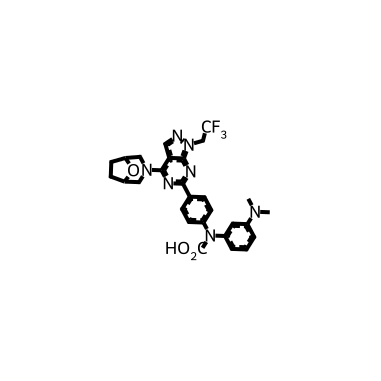 CN(C)c1cccc(N(C(=O)O)c2ccc(-c3nc(N4CC5CCC(C4)O5)c4cnn(CC(F)(F)F)c4n3)cc2)c1